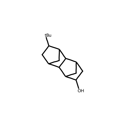 CC(C)(C)C1CC2CC1C1C3CC(O)C(C3)C21